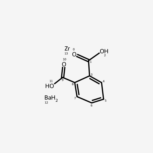 O=C(O)c1ccccc1C(=O)O.[BaH2].[Zr]